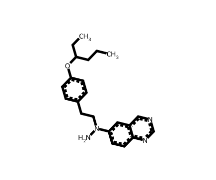 CCCC(CC)Oc1ccc(CCN(N)c2ccc3ncncc3c2)cc1